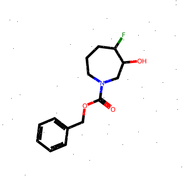 O=C(OCc1ccccc1)N1CCCC(F)C(O)C1